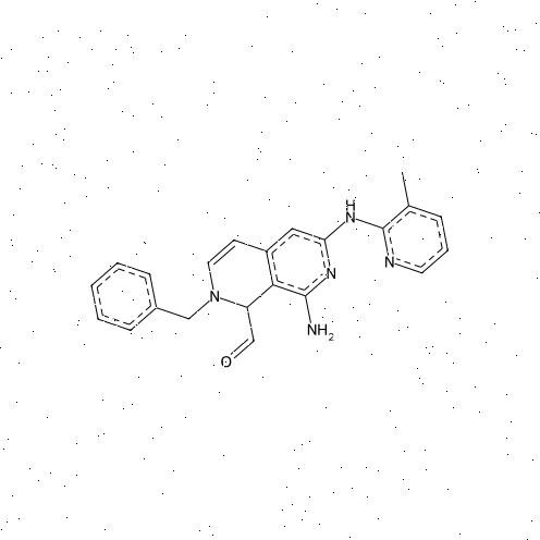 Cc1cccnc1Nc1cc2c(c(N)n1)C(C=O)N(Cc1ccccc1)C=C2